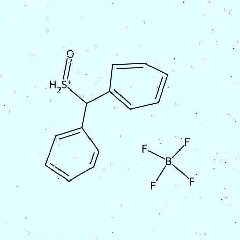 F[B-](F)(F)F.O=[SH2+]C(c1ccccc1)c1ccccc1